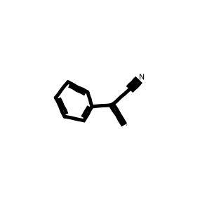 [CH]=C(C#N)c1ccccc1